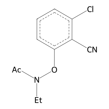 CCN(Oc1cccc(Cl)c1C#N)C(C)=O